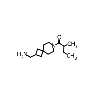 CCC(C)C(=O)N1CCC2(CC1)CC(CN)C2